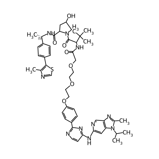 Cc1ncsc1-c1ccc([C@H](C)NC(=O)C2CC(O)CN2C(=O)C(NC(=O)COCCOCCOc2ccc(-c3nccc(Nc4cc5c(cn4)nc(C)n5C(C)C)n3)cc2)C(C)(C)C)cc1